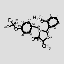 COc1ccccc1C1SC(C)C(=O)N1Cc1ccc(OC(F)(F)F)cc1